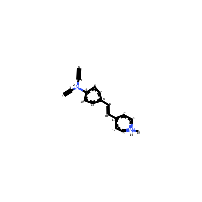 C#CN(C#C)c1ccc(C=Cc2cc[n+](C)cc2)cc1